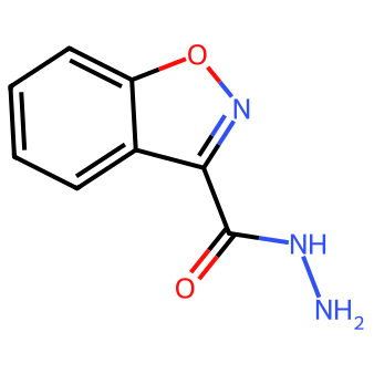 NNC(=O)c1noc2ccccc12